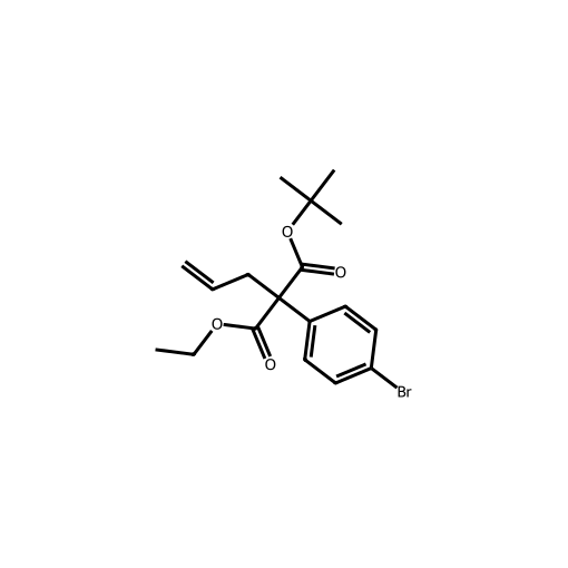 C=CCC(C(=O)OCC)(C(=O)OC(C)(C)C)c1ccc(Br)cc1